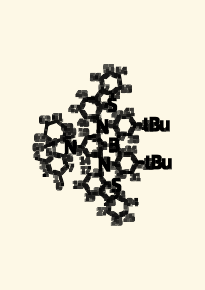 Cc1cc(C)c2c(c1)N(c1cc3c4c(c1)N(c1cccc5c1sc1ccccc15)c1ccc(C(C)(C)C)cc1B4c1cc(C(C)(C)C)ccc1N3c1cccc3c1sc1ccccc13)C1(C)CCCCC21C